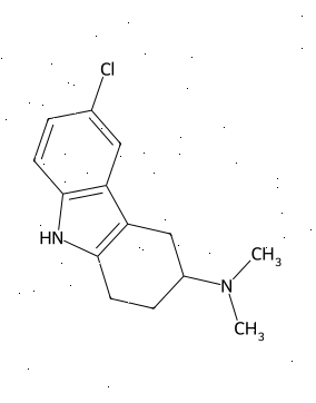 CN(C)C1CCc2[nH]c3ccc(Cl)cc3c2C1